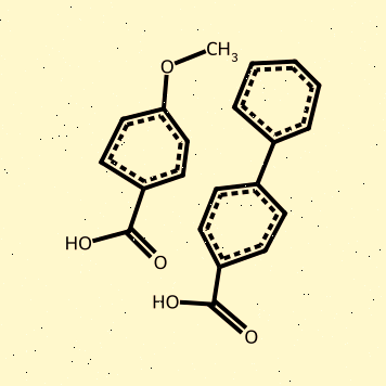 COc1ccc(C(=O)O)cc1.O=C(O)c1ccc(-c2ccccc2)cc1